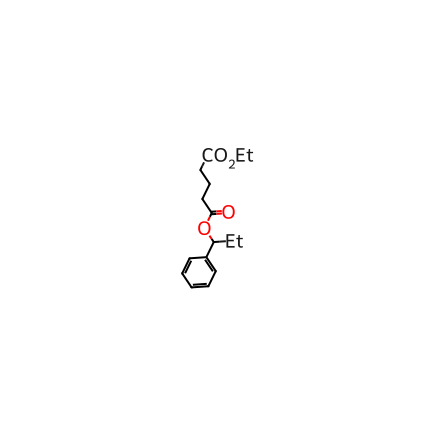 CCOC(=O)CCCC(=O)OC(CC)c1ccccc1